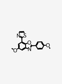 COc1ccc(-c2nc3cc(OC)cc(-c4nccs4)c3o2)cc1